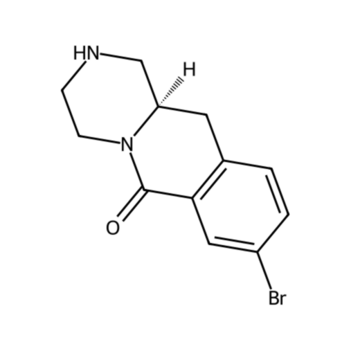 O=C1c2cc(Br)ccc2C[C@@H]2CNCCN12